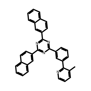 Cc1cccnc1-c1cccc(-c2nc(-c3ccc4ccccc4c3)nc(-c3ccc4ccccc4c3)n2)c1